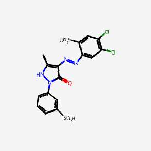 Cc1[nH]n(-c2cccc(S(=O)(=O)O)c2)c(=O)c1N=Nc1cc(Cl)c(Cl)cc1S(=O)(=O)O